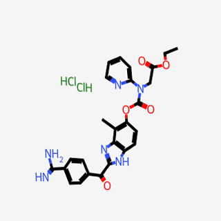 CCOC(=O)CN(C(=O)Oc1ccc2[nH]c(C(=O)c3ccc(C(=N)N)cc3)nc2c1C)c1ccccn1.Cl.Cl